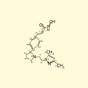 Cc1cc(C)n(CCN2CCCC2c2ccc(/C=C/C(=O)NO)cc2)n1